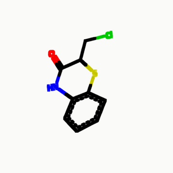 O=C1Nc2ccccc2SC1CCl